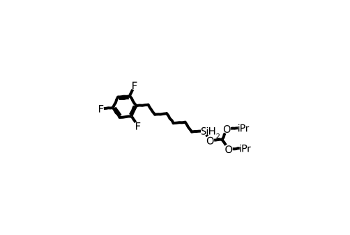 CC(C)OC(O[SiH2]CCCCCCc1c(F)cc(F)cc1F)OC(C)C